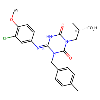 Cc1ccc(Cn2c(=O)n(C[C@H](C)C(=O)O)c(=O)[nH]/c2=N\c2ccc(OC(C)C)c(Cl)c2)cc1